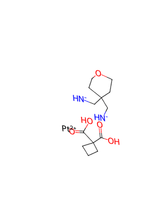 O=C(O)C1(C(=O)O)CCC1.[NH-]CC1(C[NH-])CCOCC1.[Pt+2]